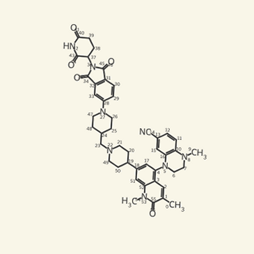 Cc1cc2c(N3CCN(C)c4ccc(C#N)cc43)cc(C3CCN(CC4CCN(c5ccc6c(c5)C(=O)N(C5CCC(=O)NC5=O)C6=O)CC4)CC3)cc2n(C)c1=O